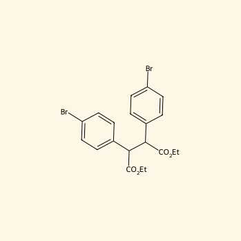 CCOC(=O)C(c1ccc(Br)cc1)C(C(=O)OCC)c1ccc(Br)cc1